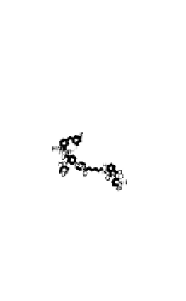 O=C1CCC(N2C(=O)c3cccc(NCCCCCC(=O)N4CCN(c5ccc(C(=O)Nc6n[nH]c7ccc(Cc8cc(F)cc(F)c8)cc67)c(NC6CCOCC6)c5)CC4)c3C2=O)C(=O)N1